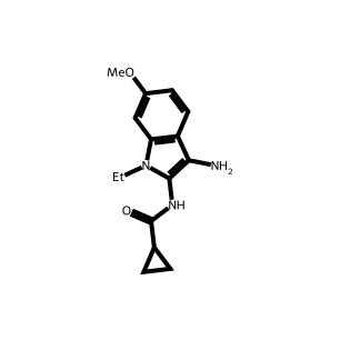 CCn1c(NC(=O)C2CC2)c(N)c2ccc(OC)cc21